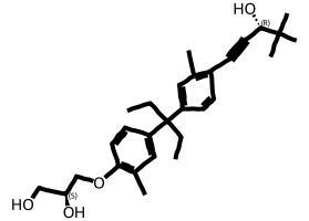 CCC(CC)(c1ccc(C#C[C@H](O)C(C)(C)C)c(C)c1)c1ccc(OC[C@@H](O)CO)c(C)c1